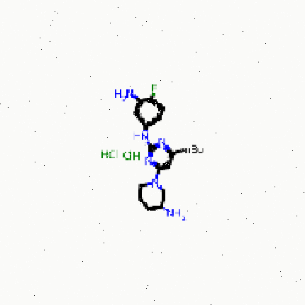 CCCCc1cc(N2CCC[C@@H](N)C2)nc(Nc2ccc(F)c(N)c2)n1.Cl.Cl